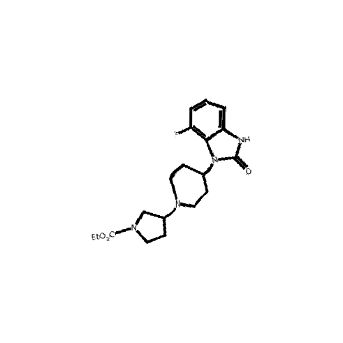 CCOC(=O)N1CCC(N2CCC(n3c(=O)[nH]c4cccc(F)c43)CC2)C1